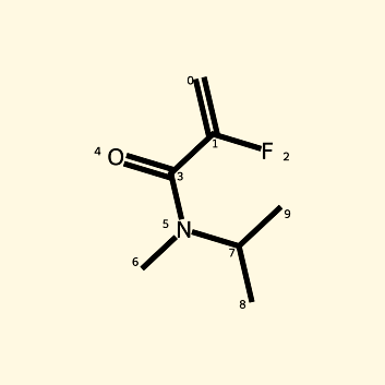 C=C(F)C(=O)N(C)C(C)C